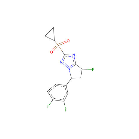 O=S(=O)(c1nc2n(n1)C(c1ccc(F)c(F)c1)CC2F)C1CC1